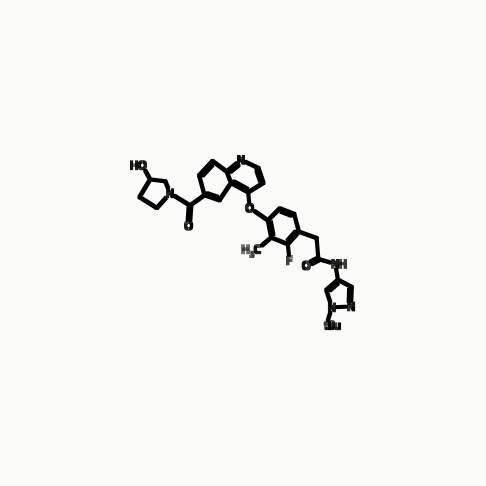 Cc1c(Oc2ccnc3ccc(C(=O)N4CCC(O)C4)cc23)ccc(CC(=O)Nc2cnn(C(C)(C)C)c2)c1F